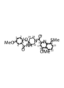 COc1ccc2c(c1)C(=O)NC1(CCN(C(=O)c3cc(OC)c4cccc(SC)c4n3)CC1)O2